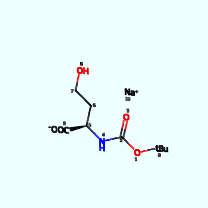 CC(C)(C)OC(=O)N[C@H](CCO)C(=O)[O-].[Na+]